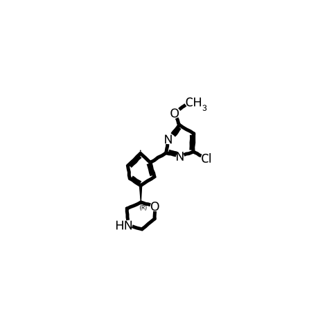 COc1cc(Cl)nc(-c2[c]ccc([C@@H]3CNCCO3)c2)n1